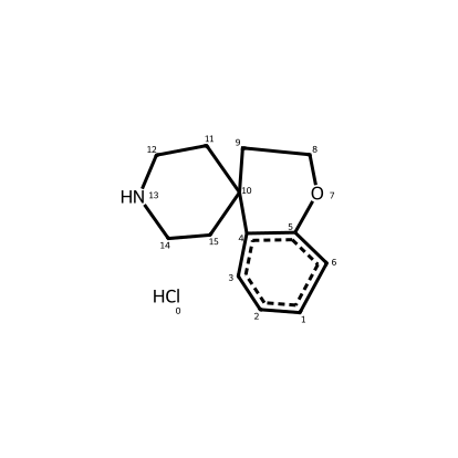 Cl.c1ccc2c(c1)OCCC21CCNCC1